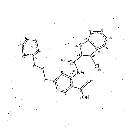 O=C(O)c1ccc(CCCc2ccccc2)cc1NC(=O)C1Sc2ccccc2C1Cl